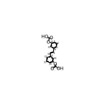 O=C(O)Oc1cccc(C=Cc2cccc(OC(=O)O)c2)c1